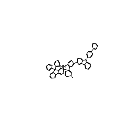 C[C@@H]1C=C(c2cc(-c3ccc4c(c3)c3ccccc3n4-c3ccc(-c4ccccc4)cc3)ccc2NC2(C)C=C3C(=CC2)c2ccccc2C3(c2ccccc2)c2ccccc2)C=CC1